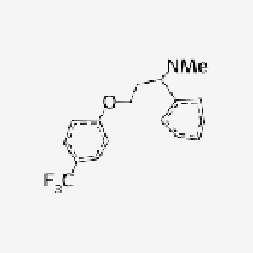 CNC(CCOc1ccc(C(F)(F)F)cc1)c1ccccc1